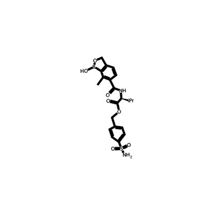 Cc1c(C(=O)N[C@H](C(=O)OCc2ccc(S(N)(=O)=O)cc2)C(C)C)ccc2c1B(O)OC2